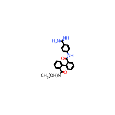 CN(O)C(=O)c1ccccc1-c1ccccc1C(=O)Nc1ccc(C(=N)N)cc1